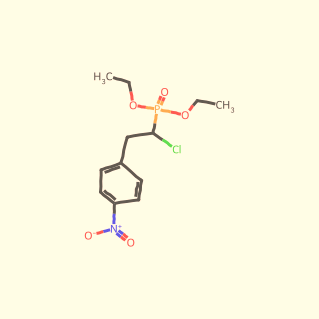 CCOP(=O)(OCC)C(Cl)Cc1ccc([N+](=O)[O-])cc1